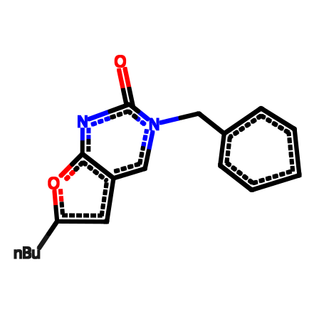 CCCCc1cc2cn(Cc3ccccc3)c(=O)nc2o1